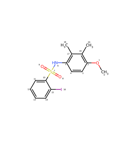 COc1ccc(NS(=O)(=O)c2ccccc2I)c(C)c1C